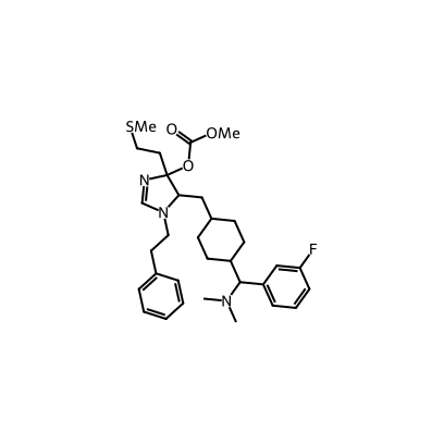 COC(=O)OC1(CCSC)N=CN(CCc2ccccc2)C1CC1CCC(C(c2cccc(F)c2)N(C)C)CC1